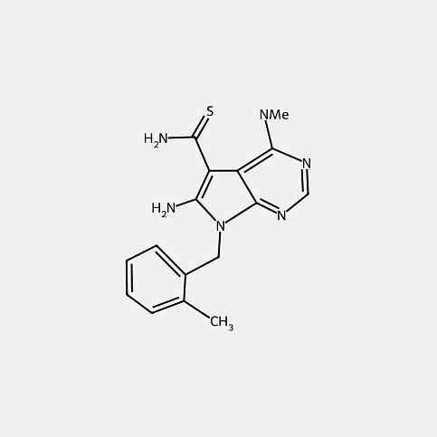 CNc1ncnc2c1c(C(N)=S)c(N)n2Cc1ccccc1C